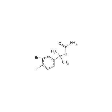 CC(C)(OC(N)=O)c1ccc(F)c(Br)c1